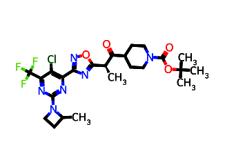 CC1CCN1c1nc(-c2noc([C@H](C)C(=O)C3CCN(C(=O)OC(C)(C)C)CC3)n2)c(Cl)c(C(F)(F)F)n1